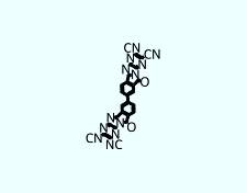 [C-]#[N+]c1nc2nc3n(c2nc1[N+]#[C-])C(=O)c1ccc(-c2ccc4c(c2)C(=O)n2c-4nc4nc(C#N)c(C#N)nc42)cc1-3